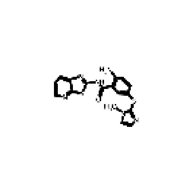 Cn1ccnc1Sc1ccc(N)c(C(=O)Nc2nc3cccnc3s2)c1